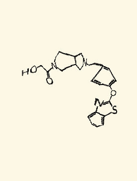 O=C(CO)N1CCC2CN(Cc3ccc(Oc4nc5ccccc5s4)cc3)CC2C1